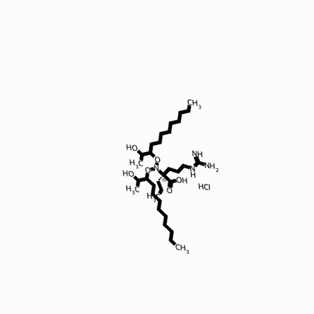 CCCCCCCCCC(ON(OC(CCCCCCCCC)C(C)O)[C@@](CCC)(CCCNC(=N)N)C(=O)O)C(C)O.Cl